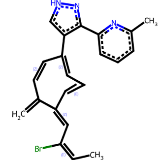 C=C1\C=C/C(c2c[nH]nc2-c2cccc(C)n2)=C/C=C/C1=C/C(Br)=C\C